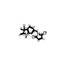 C=C1N(C)c2cc(CN3C(=O)C=CC3=O)ccc2C1(C)C